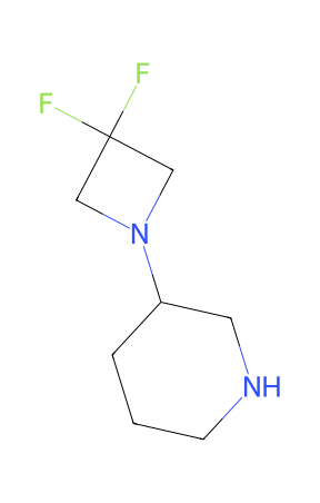 FC1(F)CN(C2CCCNC2)C1